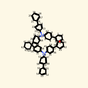 C1=C(c2ccccc2)CCC(N(c2ccc(-c3ccccc3)cc2)c2ccc(C3(c4ccc(N(c5ccc(-c6ccccc6)cc5)c5ccc(-c6ccccc6)cc5)cc4)CCCCC3)cc2)=C1